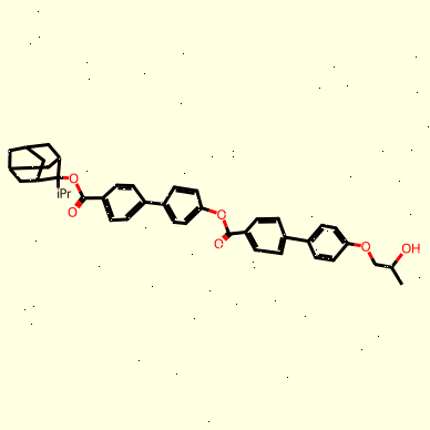 CC(O)COc1ccc(-c2ccc(C(=O)Oc3ccc(-c4ccc(C(=O)OC5(C(C)C)C6CC7CC(C6)CC5C7)cc4)cc3)cc2)cc1